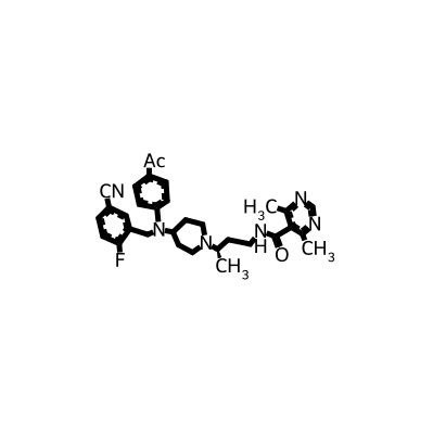 CC(=O)c1ccc(N(Cc2cc(C#N)ccc2F)C2CCN([C@H](C)CCNC(=O)c3c(C)ncnc3C)CC2)cc1